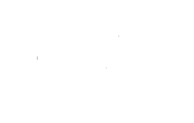 C=C(CCC(C)C)C(=O)Oc1ccccc1